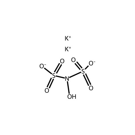 O=S(=O)([O-])N(O)S(=O)(=O)[O-].[K+].[K+]